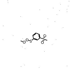 COOSc1cccc(S(C)(=O)=O)c1